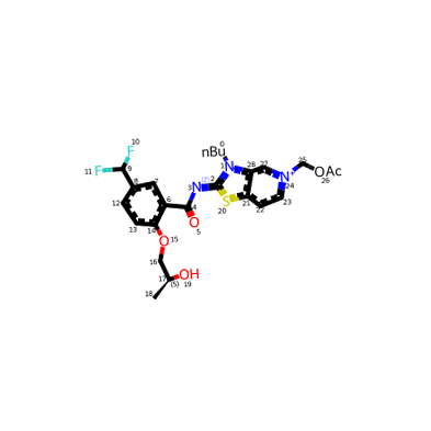 CCCCn1/c(=N/C(=O)c2cc(C(F)F)ccc2OC[C@H](C)O)sc2cc[n+](COC(C)=O)cc21